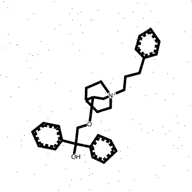 OC(COC1C[N+]2(CCCc3ccccc3)CCC1CC2)(c1ccccc1)c1ccccc1